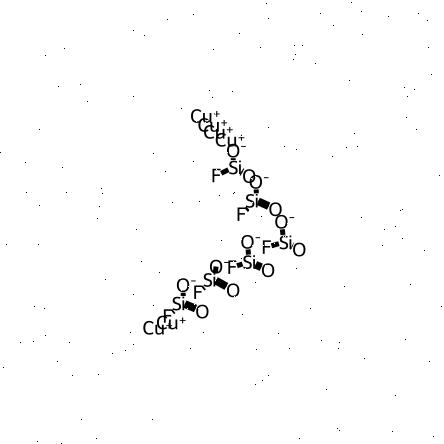 O=[Si]([O-])F.O=[Si]([O-])F.O=[Si]([O-])F.O=[Si]([O-])F.O=[Si]([O-])F.O=[Si]([O-])F.[Cu+].[Cu+].[Cu+].[Cu+].[Cu+].[Cu+]